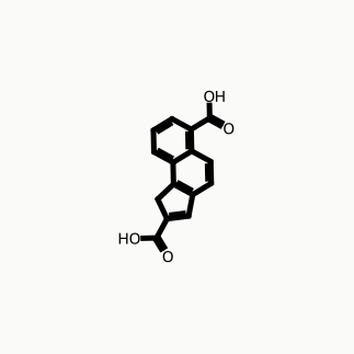 O=C(O)C1=Cc2ccc3c(C(=O)O)cccc3c2C1